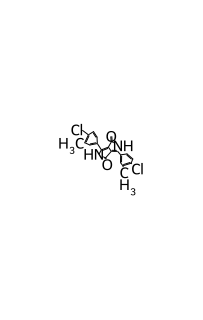 Cc1cc(C2=C3C(=O)NC(c4ccc(Cl)c(C)c4)=C3C(=O)N2)ccc1Cl